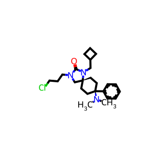 CN(C)[C@]1(c2ccccc2)CC[C@@]2(CC1)CN(CCCCl)C(=O)N2CC1CCC1